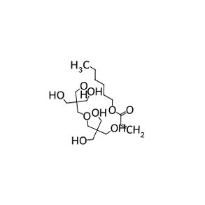 C=CC(=O)OCCCCCC.OCC(CO)(CO)COCC(CO)(CO)CO